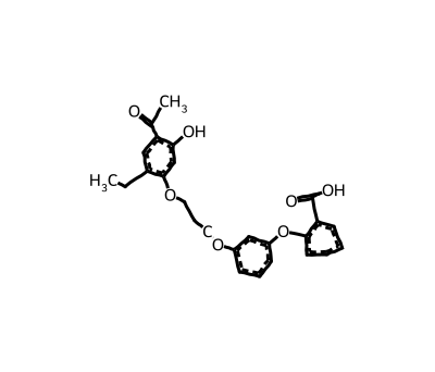 CCc1cc(C(C)=O)c(O)cc1OCCCOc1cccc(Oc2ccccc2C(=O)O)c1